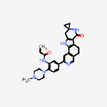 C=CC(=O)Nc1cc(-c2cc3c(cn2)CCc2c-3[nH]c3c2C(=O)NC2(CC2)C3)ccc1N1CCN(C)CC1